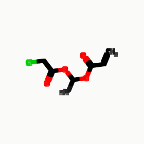 C=CC(=O)OC(CCC)OC(=O)CCl